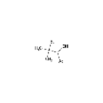 CCC(C)(C)C(O)C(C)=O